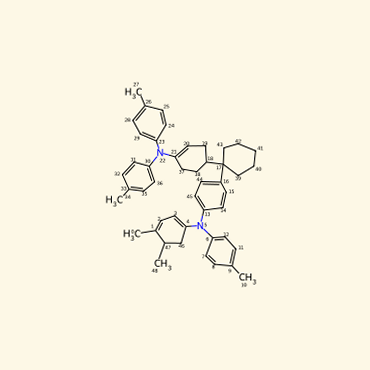 CC1=CC=C(N(c2ccc(C)cc2)c2ccc(C3(C4CC=C(N(c5ccc(C)cc5)c5ccc(C)cc5)CC4)CCCCC3)cc2)CC1C